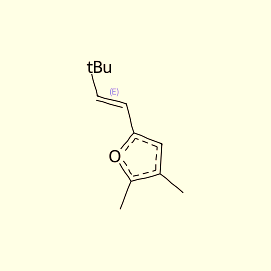 Cc1cc(/C=C/C(C)(C)C)oc1C